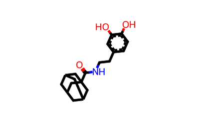 O=C(NCCc1ccc(O)c(O)c1)C12CC3CC(CC(C3)C1)C2